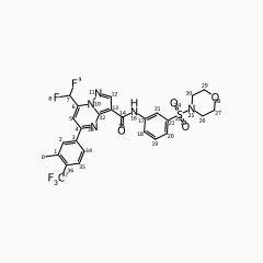 Cc1cc(-c2cc(C(F)F)n3ncc(C(=O)Nc4cccc(S(=O)(=O)N5CCOCC5)c4)c3n2)ccc1C(F)(F)F